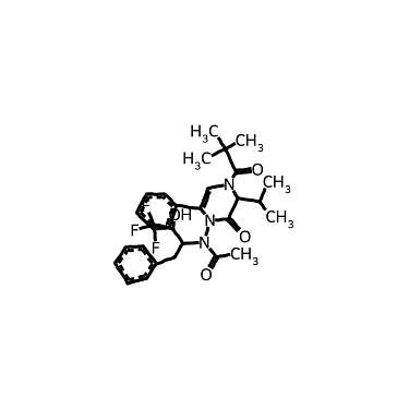 CC(=O)N(C(Cc1ccccc1)C(O)C(F)(F)F)N1C(=O)C(C(C)C)N(C(=O)C(C)(C)C)C=C1c1ccccc1